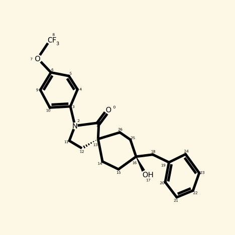 O=C1N(c2ccc(OC(F)(F)F)cc2)CC[C@]12CC[C@@](O)(Cc1ccccc1)CC2